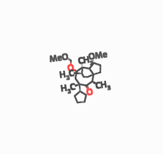 COCO[C@@H]1C[C@@](C)(C2CCCC2)C(=O)[C@H](C)C23CC[C@@H](C)[C@]1(C)C2[C@H](OC)CC3